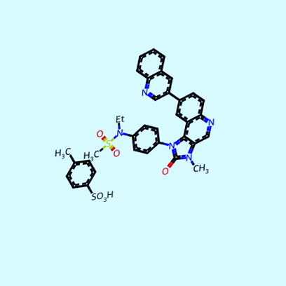 CCN(c1ccc(-n2c(=O)n(C)c3cnc4ccc(-c5cnc6ccccc6c5)cc4c32)cc1)S(C)(=O)=O.Cc1ccc(S(=O)(=O)O)cc1